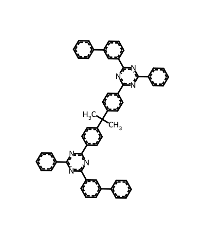 CC(C)(c1ccc(-c2nc(-c3ccccc3)nc(-c3cccc(-c4ccccc4)c3)n2)cc1)c1ccc(-c2nc(-c3ccccc3)nc(-c3cccc(-c4ccccc4)c3)n2)cc1